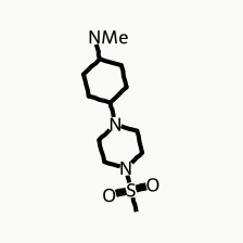 CNC1CCC(N2CCN(S(C)(=O)=O)CC2)CC1